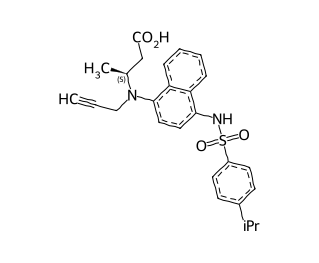 C#CCN(c1ccc(NS(=O)(=O)c2ccc(C(C)C)cc2)c2ccccc12)[C@@H](C)CC(=O)O